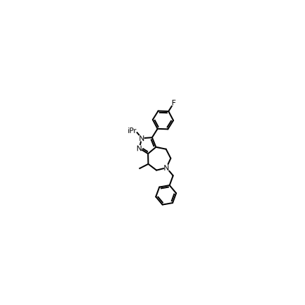 CC1CN(Cc2ccccc2)CCc2c1nn(C(C)C)c2-c1ccc(F)cc1